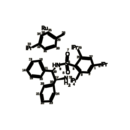 CC(C)c1cc(C(C)C)c(S(=O)(=O)N[C@@H](c2ccccc2)[C@@H](N)c2ccccc2)c(C(C)C)c1.Cc1ccc(C(C)C)cc1.[Ru]